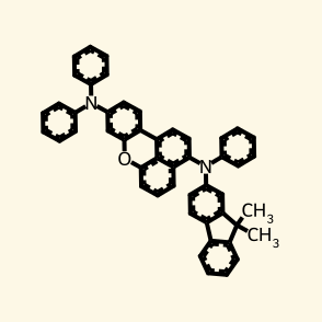 CC1(C)c2ccccc2-c2ccc(N(c3ccccc3)c3ccc4c5c(cccc35)Oc3cc(N(c5ccccc5)c5ccccc5)ccc3-4)cc21